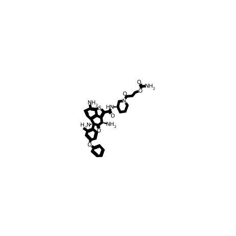 Cc1cc(Oc2ccccc2)ccc1[C@]1(N)C(=O)[C@H](N)c2c(C(=O)N[C@@H]3CCCN(C(=O)CCOC(N)=O)C3)sc3c(N)ccc1c23